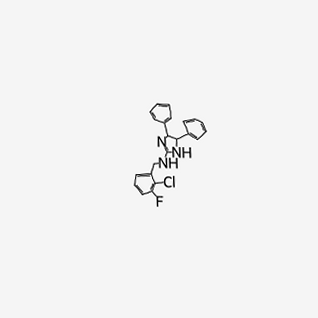 Fc1cccc(CNC2=NC(c3ccccc3)C(c3ccccc3)N2)c1Cl